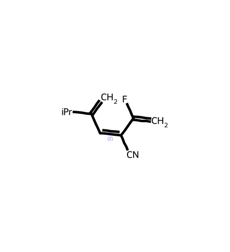 C=C(F)/C(C#N)=C\C(=C)C(C)C